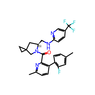 Cc1ccc(-c2ccc(C)nc2C(=O)N2CC3(CC3)C[C@H]2CNc2ccc(C(F)(F)F)cn2)c(F)c1